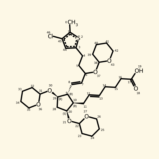 Cc1sc(CCC(C=C[C@@H]2[C@@H](CC=CCCCC(=O)O)[C@@H](OC3CCCCO3)C[C@H]2OC2CCCCO2)OC2CCCCO2)cc1Cl